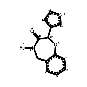 CCN1Cc2ccccc2OC(c2ccsc2)C1=O